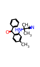 Cc1ccc(C(=O)c2ccccc2)c(NC(C)(C)C#N)c1